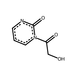 O=C(CO)n1cccnc1=O